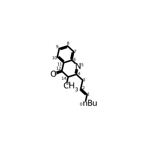 CCCCC=CCC1=Nc2ccccc2C(=O)C1C